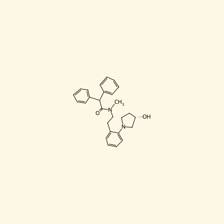 CN(CCc1ccccc1N1CC[C@H](O)C1)C(=O)C(c1ccccc1)c1ccccc1